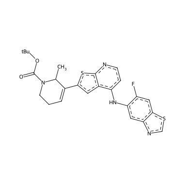 CC1C(c2cc3c(Nc4cc5ncsc5cc4F)ccnc3s2)=CCCN1C(=O)OC(C)(C)C